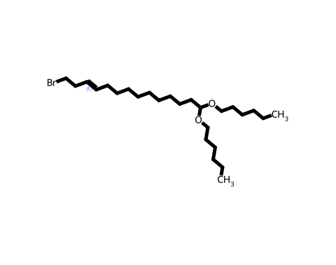 CCCCCCOC(CCCCCCCCC/C=C/CCBr)OCCCCCC